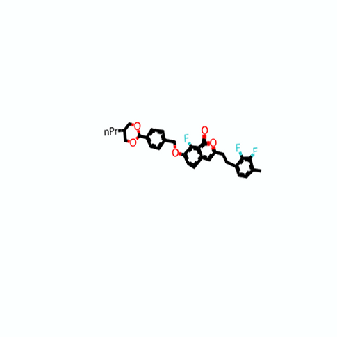 CCCC1COC(c2ccc(COc3ccc4cc(CCc5ccc(C)c(F)c5F)oc(=O)c4c3F)cc2)OC1